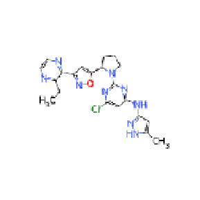 CCc1nccnc1-c1cc(C2CCCN2c2nc(Cl)cc(Nc3cc(C)[nH]n3)n2)on1